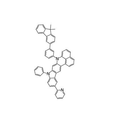 CC1(C)c2ccccc2-c2cc(-c3cccc(N4c5cc6c(cc5-c5cccc7cccc4c57)c4cc(-c5ccccn5)ccc4n6-c4ccccc4)c3)ccc21